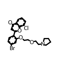 O=c1cc(-c2ccc(Br)cc2OCCOCCN2CCCC2)oc2c(Cl)cccc12